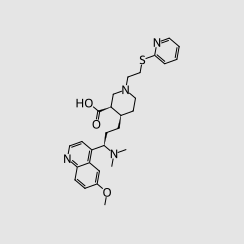 COc1ccc2nccc([C@@H](CC[C@@H]3CCN(CCSc4ccccn4)C[C@@H]3C(=O)O)N(C)C)c2c1